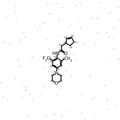 Cc1cc(N2CCOCC2)cc(C(F)(F)F)c1NC(=O)CC1C=CCC1